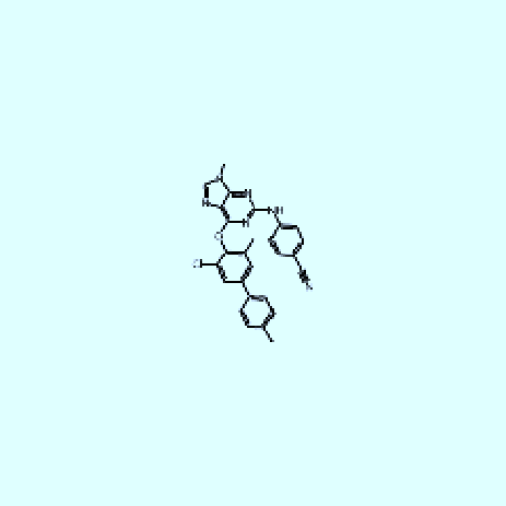 Cc1ccc(-c2cc(C)c(Oc3nc(Nc4ccc(C#N)cc4)nc4c3ncn4C)c(Cl)c2)cc1